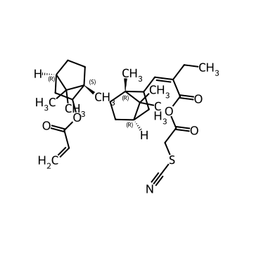 C=CC(=O)OC1C[C@H]2CC[C@@]1(C)C2(C)C.CCC(=CC1C[C@H]2CC[C@@]1(C)C2(C)C)C(=O)OC(=O)CSC#N